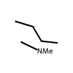 CNC.C[CH]CC